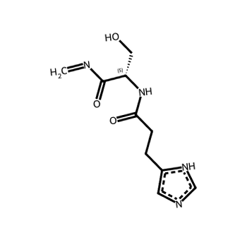 C=NC(=O)[C@H](CO)NC(=O)CCc1cnc[nH]1